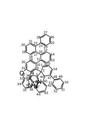 C1=CC(c2ccnnn2)(c2c(-c3ccccc3-c3ccccc3-c3ccccc3)ccc3oc4ccccc4c23)C(c2ccccc2)C(c2ccccc2)=C1